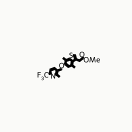 COC(=O)Cc1csc2c(C)c(OCc3ccc(C(F)(F)F)nc3C)cc(C)c12